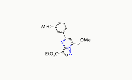 CCOC(=O)c1cnn2c(COC)cc(-c3cccc(OC)c3)nc12